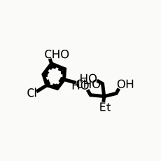 CCC(CO)(CO)CO.O=Cc1cc(Cl)cc(C=O)c1